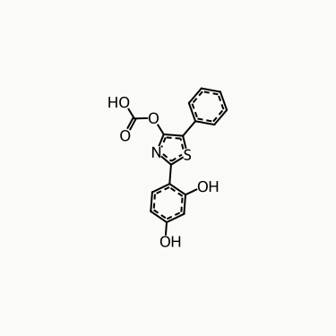 O=C(O)Oc1nc(-c2ccc(O)cc2O)sc1-c1ccccc1